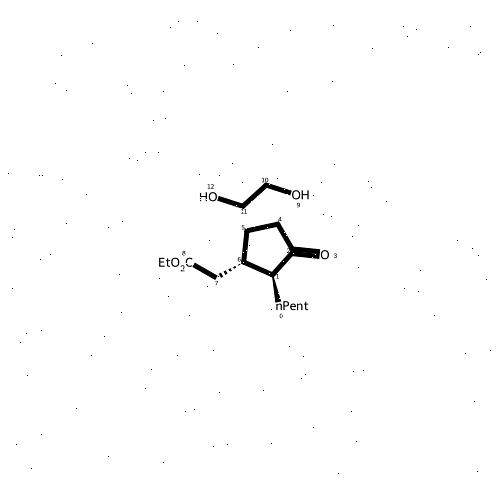 CCCCC[C@@H]1C(=O)CC[C@H]1CC(=O)OCC.OCCO